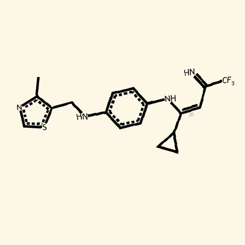 Cc1ncsc1CNc1ccc(N/C(=C\C(=N)C(F)(F)F)C2CC2)cc1